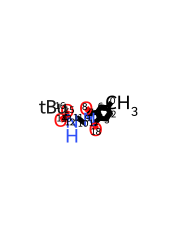 Cc1ccc2c(c1)C(=O)N(CCNC(=O)OC(C)(C)C)C2=O